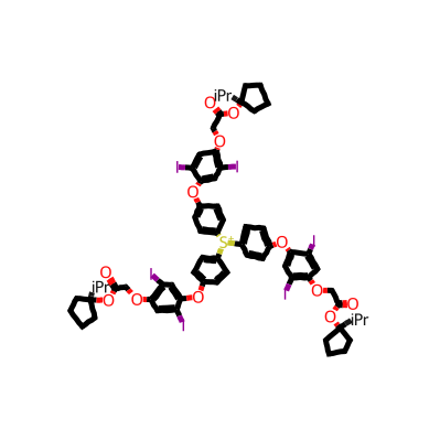 CC(C)C1(OC(=O)COc2cc(I)c(Oc3ccc([S+](c4ccc(Oc5cc(I)c(OCC(=O)OC6(C(C)C)CCCC6)cc5I)cc4)c4ccc(Oc5cc(I)c(OCC(=O)OC6(C(C)C)CCCC6)cc5I)cc4)cc3)cc2I)CCCC1